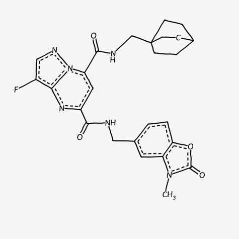 Cn1c(=O)oc2ccc(CNC(=O)c3cc(C(=O)NCC45CCC(CC4)CC5)n4ncc(F)c4n3)cc21